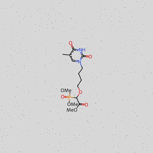 COC(=O)C(OCCCCn1cc(C)c(=O)[nH]c1=O)P(=O)(OC)OC